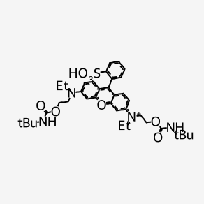 CCN(CCOC(=O)NC(C)(C)C)c1ccc2c(-c3ccccc3S(=O)(=O)O)c3cc/c(=[N+](/CC)CCOC(=O)NC(C)(C)C)cc-3oc2c1